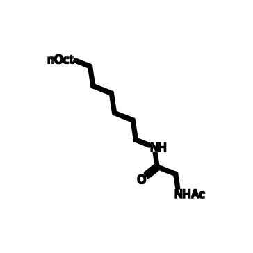 CCCCCCCCCCCCCCNC(=O)CNC(C)=O